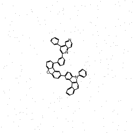 c1ccc(-c2cc(-c3cccc(-c4cccc5oc6ccc(-c7ccc8c(c7)c7c9ccccc9ccc7n8-c7ccccc7)cc6c45)c3)nc3ccncc23)cc1